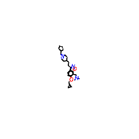 CN(C)Cc1c(OCC2CC2)ccc2c(CCC3CCN(CC4CCCC4)CC3)noc12